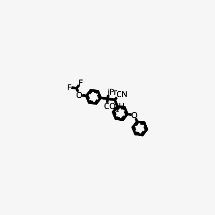 CC(C)C(C(=O)O)(c1ccc(OC(F)F)cc1)C(C#N)c1cccc(Oc2ccccc2)c1